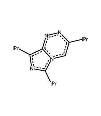 CC(C)c1cn2c(C(C)C)nc(C(C)C)c2nn1